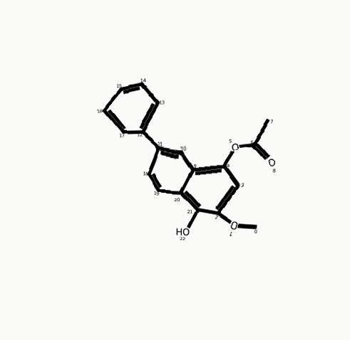 COc1cc(OC(C)=O)c2cc(-c3ccccc3)ccc2c1O